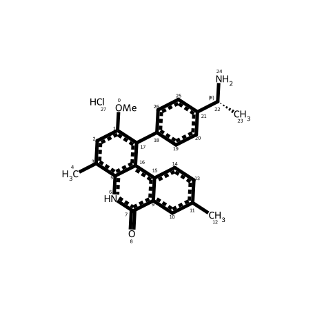 COc1cc(C)c2[nH]c(=O)c3cc(C)ccc3c2c1-c1ccc([C@@H](C)N)cc1.Cl